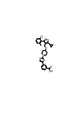 Cc1cccc(Cl)c1-c1noc(C2CC2)c1COC1CCN(c2nc(-c3cccc(C(=O)O)c3)cs2)CC1